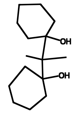 CC(C)(C1(O)CCCCC1)C1(O)CCCCC1